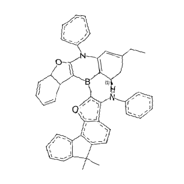 CCC1=CC2=C3B(C4=C(OC5C=CC=CC45)N2c2ccccc2)c2oc4c5c(ccc4c2N(c2ccccc2)[C@H]3C1)C(C)(C)c1ccccc1-5